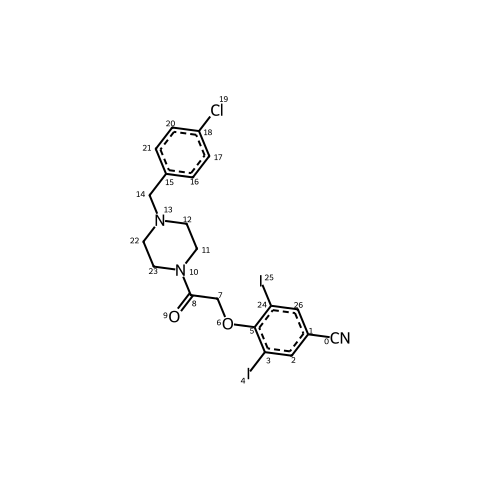 N#Cc1cc(I)c(OCC(=O)N2CCN(Cc3ccc(Cl)cc3)CC2)c(I)c1